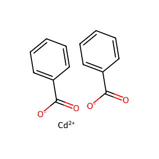 O=C([O-])c1ccccc1.O=C([O-])c1ccccc1.[Cd+2]